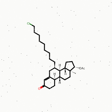 CC(=O)O[C@H]1CC[C@H]2[C@@H]3[C@H](CCCCCCCCCCl)CC4=CC(=O)CC[C@@H]4[C@H]3CC[C@]12C